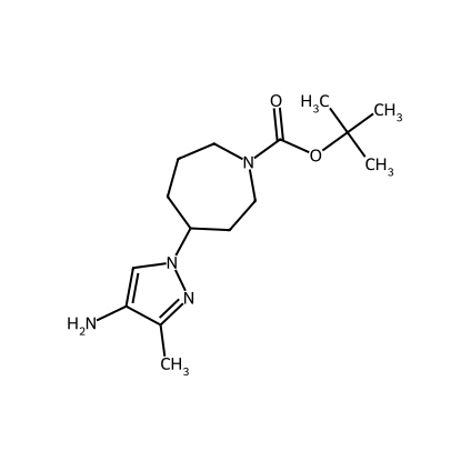 Cc1nn(C2CCCN(C(=O)OC(C)(C)C)CC2)cc1N